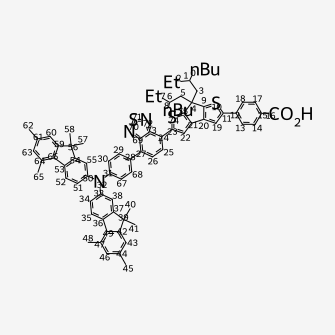 CCCCC(CC)CC1(CC(CC)CCCC)c2sc(-c3ccc(C(=O)O)cc3)cc2-c2cc(-c3ccc(-c4ccc(N(c5ccc6c(c5)C(C)(C)c5cc(C)cc(C)c5-6)c5ccc6c(c5)C(C)(C)c5cc(C)cc(C)c5-6)cc4)c4nsnc34)sc21